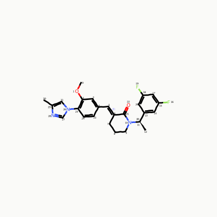 COc1cc(/C=C2\CCCN([C@H](C)c3cc(F)cc(F)c3)C2=O)ccc1-n1cnc(C)c1